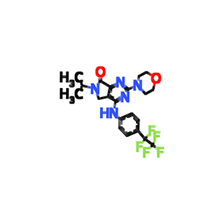 CC(C)N1Cc2c(Nc3ccc(C(F)(F)C(F)(F)F)cc3)nc(N3CCOCC3)nc2C1=O